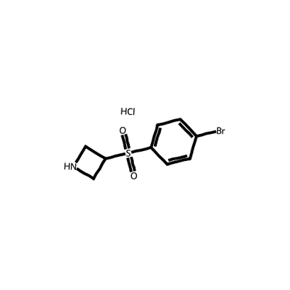 Cl.O=S(=O)(c1ccc(Br)cc1)C1CNC1